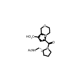 CC(=O)NC[C@H]1CCCN1C(=O)c1cc(C(=O)O)c2n1CCOC2